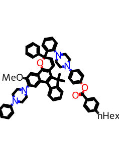 CCCCCCc1ccc(C(=O)Oc2ccc(N3CCN(c4ccccc4C4(c5ccccc5)C=Cc5c6c(c7cc(N8CCN(c9ccccc9)CC8)c(OC)cc7c5O4)-c4ccccc4C6(C)C)CC3)cc2)cc1